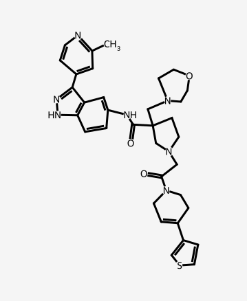 Cc1cc(-c2n[nH]c3ccc(NC(=O)C4(CN5CCOCC5)CCN(CC(=O)N5CC=C(c6ccsc6)CC5)C4)cc23)ccn1